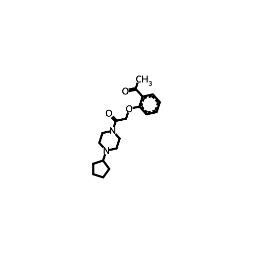 CC(=O)c1ccccc1OCC(=O)N1CCN(C2CCCC2)CC1